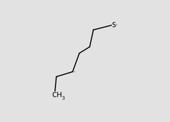 CC[CH]CCC[S]